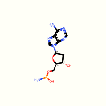 Nc1ncnc2c1ncn2[C@H]1C[C@H](O)[C@@H](COP(N)O)O1